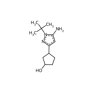 CC(C)(C)n1nc(C2CCC(O)C2)cc1N